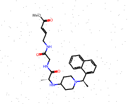 COC(=O)/C=C/CNC(=O)CNC(=O)[C@@H](C)NC1CCN([C@H](C)c2cccc3ccccc23)CC1